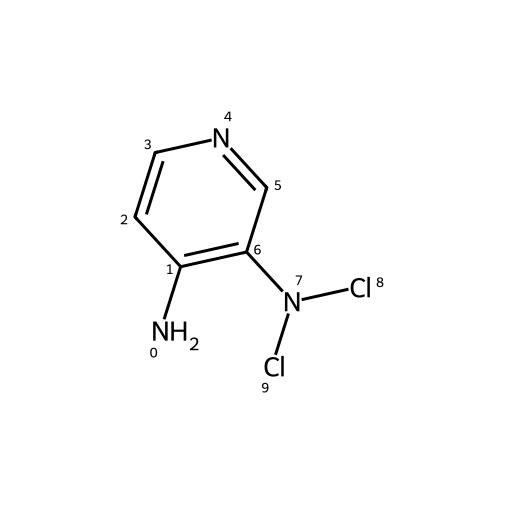 Nc1ccncc1N(Cl)Cl